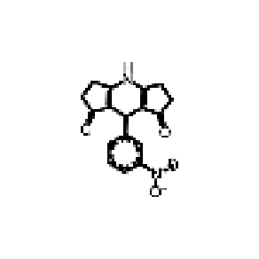 O=C1CCC2=C1C(c1cccc([N+](=O)[O-])c1)C1=C(CCC1=O)N2